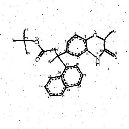 CC1Oc2ccc(C(C)(NC(=O)OC(C)(C)C)c3cccc4ccccc34)cc2NC1=S